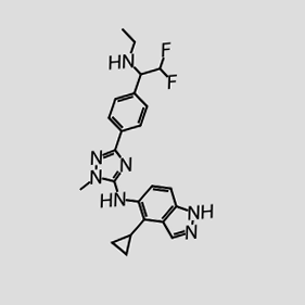 CCNC(c1ccc(-c2nc(Nc3ccc4[nH]ncc4c3C3CC3)n(C)n2)cc1)C(F)F